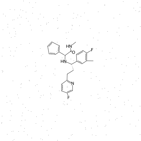 CNC(=O)C(N[C@@H](CCc1ccc(F)cn1)c1ccc(F)c(C)c1)c1ccccc1